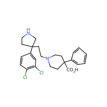 O=C(O)C1(c2ccccc2)CCN(CCC2(c3ccc(Cl)c(Cl)c3)CCNC2)CC1